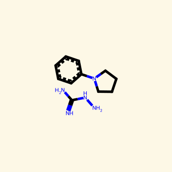 N=C(N)NN.c1ccc(N2CCCC2)cc1